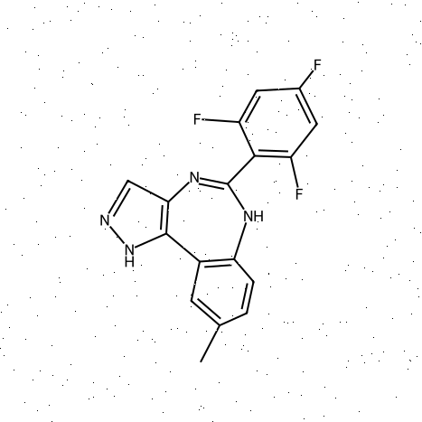 Cc1ccc2c(c1)-c1[nH]ncc1N=C(c1c(F)cc(F)cc1F)N2